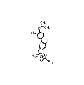 CC(C)Oc1ccc(-c2cc3c(cc2F)[C@H](OC(N)=O)C(C)(C)C3)cc1Cl